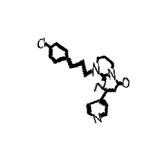 O=c1cc(-c2ccncc2)nc2n1CCCN2CCCc1ccc(Cl)cc1